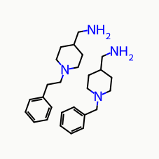 NCC1CCN(CCc2ccccc2)CC1.NCC1CCN(Cc2ccccc2)CC1